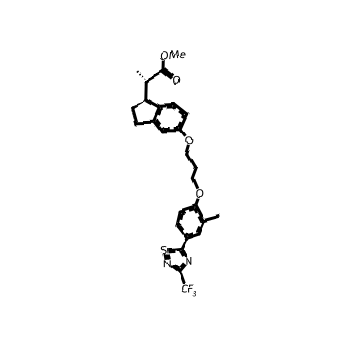 COC(=O)[C@@H](C)[C@@H]1CCc2cc(OCCCOc3ccc(-c4nc(C(F)(F)F)ns4)cc3C)ccc21